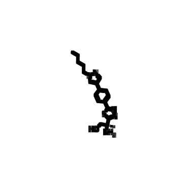 CCCCCn1cc(-c2ccc(-c3nnc([C@@](C)(N)CO)s3)cc2)cn1